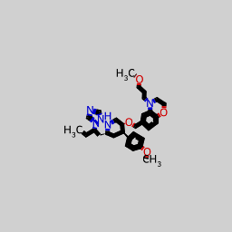 CCC(C[C@H]1C[C@H](c2ccc(OC)cc2)[C@@H](OCc2ccc3c(c2)N(CCCOC)CCO3)CN1)n1cncn1